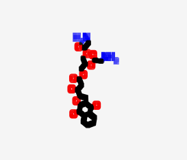 NCC(=O)OCC(COC(=O)CC(=O)c1cc2c(o1)C(=O)c1ccccc1C2=O)OC(=O)CN